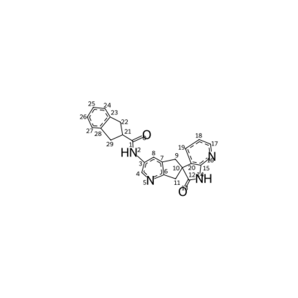 O=C(Nc1cnc2c(c1)CC1(C2)C(=O)Nc2ncccc21)C1Cc2ccccc2C1